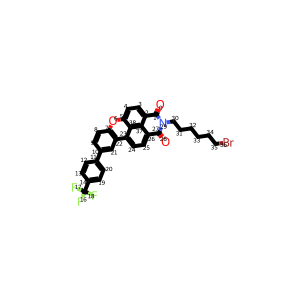 O=c1c2ccc3oc4ccc(-c5ccc(C(F)(F)F)cc5)cc4c4ccc(c(=O)n1CCCCCCBr)c2c34